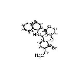 COc1ccc(C2Nc3c(ccc4ccccc34)C3=C2C(=O)CCC3)cc1Br